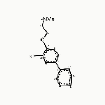 CNCCOc1ccc(-c2ccccc2)cc1I